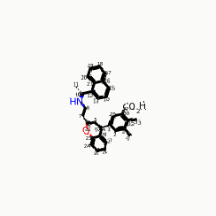 Cc1cc([C@@H]2C[C@H](CCN[C@H](C)c3cccc4ccccc34)Oc3ccccc32)cc(C(=O)O)c1C